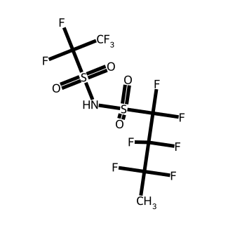 CC(F)(F)C(F)(F)C(F)(F)S(=O)(=O)NS(=O)(=O)C(F)(F)C(F)(F)F